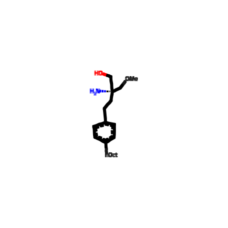 CCCCCCCCc1ccc(CC[C@@](N)(CO)COC)cc1